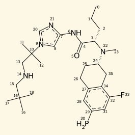 CCC[C@@H](C(=O)Nc1cn(C(C)(C)CNCC(C)(C)C)cn1)N(C)[C@H]1CCc2cc(P)cc(F)c2C1